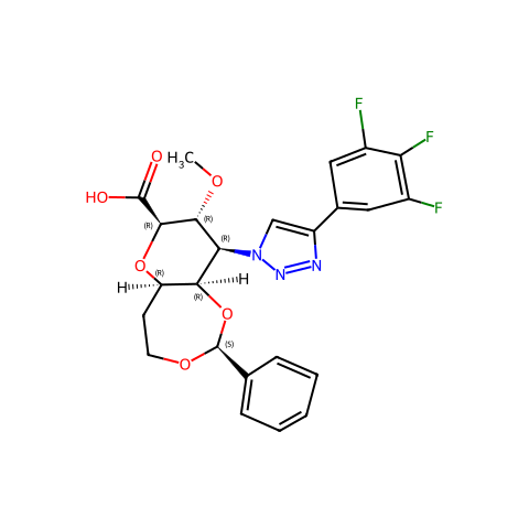 CO[C@@H]1[C@@H](n2cc(-c3cc(F)c(F)c(F)c3)nn2)[C@H]2O[C@@H](c3ccccc3)OCC[C@H]2O[C@H]1C(=O)O